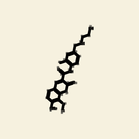 CCOc1c(OC)ccc2cc(C(=O)Nc3ccc(CNCCO)cc3C)c(=O)oc12